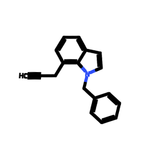 C#CCc1cccc2ccn(Cc3ccccc3)c12